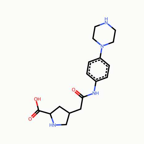 O=C(CC1CNC(C(=O)O)C1)Nc1ccc(N2CCNCC2)cc1